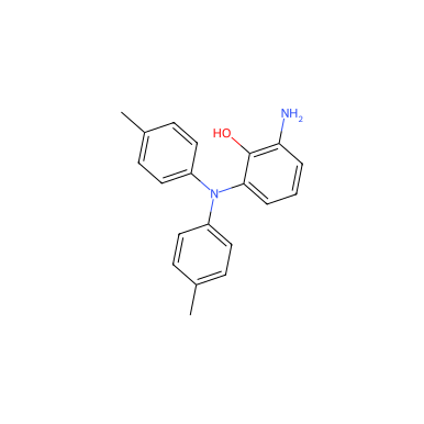 Cc1ccc(N(c2ccc(C)cc2)c2cccc(N)c2O)cc1